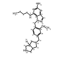 CCCCNc1nc(N)nc2cnn(Cc3ccc(CN4CC5CNC[C@@H]5C4)cc3OC)c12